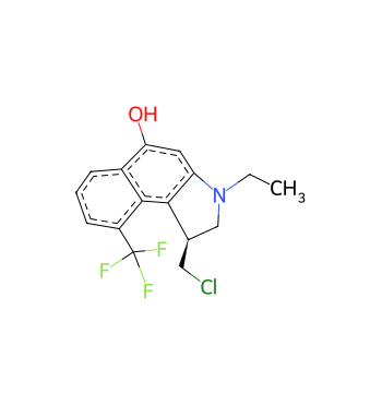 CCN1C[C@@H](CCl)c2c1cc(O)c1cccc(C(F)(F)F)c21